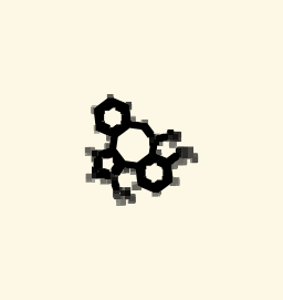 CC(=O)N1Cc2ccccc2-c2nnn(C)c2-c2cccc(C)c21